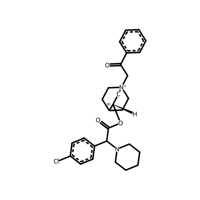 O=C(C[N+]12CCC(CC1)[C@@H](OC(=O)C(c1ccc(Cl)cc1)N1CCCCC1)C2)c1ccccc1